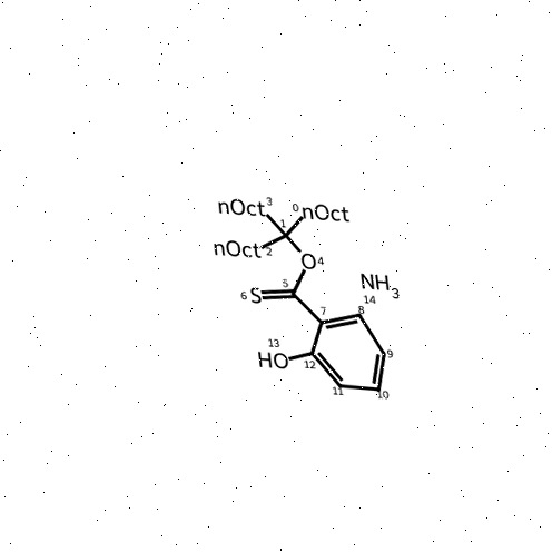 CCCCCCCCC(CCCCCCCC)(CCCCCCCC)OC(=S)c1ccccc1O.N